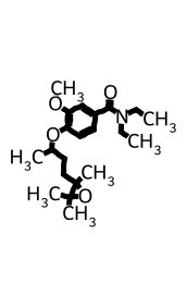 CCN(CC)C(=O)c1ccc(OC(C)CCC2(C)OC2(C)C)c(OC)c1